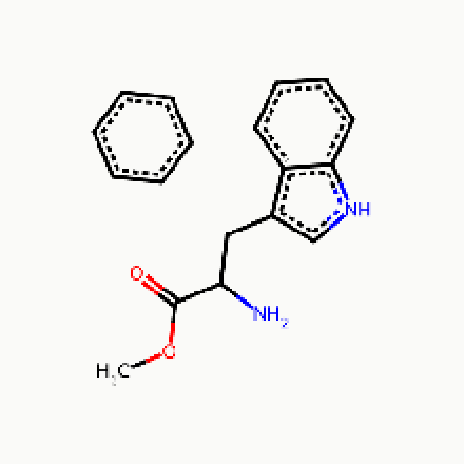 COC(=O)C(N)Cc1c[nH]c2ccccc12.c1ccccc1